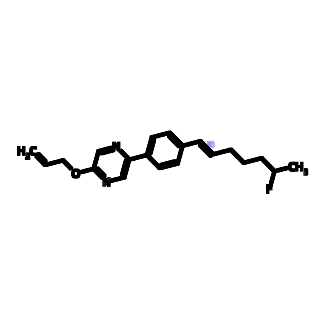 C=CCOc1cnc(-c2ccc(/C=C/CCCC(C)F)cc2)cn1